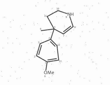 COc1ccc(C2(C)C=CNCC2)cc1